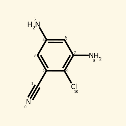 N#Cc1cc(N)[c]c(N)c1Cl